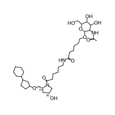 CC(=O)NC1C(OCCCCCC(=O)NCCCCCC(=O)N2C[C@H](O)C[C@H]2COC2CCC(C3CCCCC3)C2)OC(CO)C(O)C1O